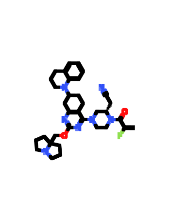 C=C(F)C(=O)N1CCN(c2nc(OCC34CCCN3CCC4)nc3c2CCC(N2CCCc4ccccc42)C3)C[C@@H]1CC#N